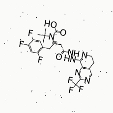 CC(C)(C)N(C(=O)O)[C@@H](CC(=O)NNC1=NCCc2cnc(C(F)(F)F)nc21)Cc1cc(F)c(F)cc1F